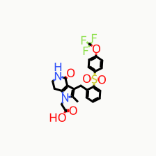 Cc1c(Cc2ccccc2S(=O)(=O)c2ccc(OC(F)(F)F)cc2)c2c(n1CC(=O)O)CCNC2=O